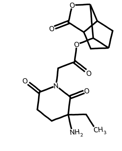 CCC1(N)CCC(=O)N(CC(=O)OC2C3CC4C(=O)OC2C4C3)C1=O